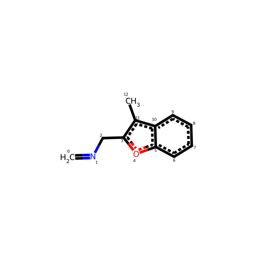 C=NCc1oc2ccccc2c1C